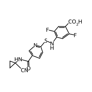 N#CC1(NC(=O)c2ccc(SNc3cc(F)c(C(=O)O)cc3F)nc2)CC1